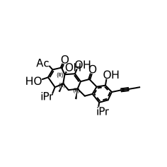 CC#Cc1cc(C(C)C)c2c(c1O)C(=O)C1=C(O)[C@@]3(O)C(=O)C(C(C)=O)=C(O)C(C(C)C)[C@@]3(C)C[C@@]1(C)C2